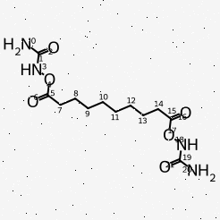 NC(=O)NOC(=O)CCCCCCCCC(=O)ONC(N)=O